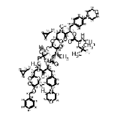 CN[C@@H](CC(C)(C)F)C(=O)O[C@H](Cc1ccc(N2CCOCC2)cc1)C(=O)N(C)[C@@H](CC1CC1)C(=O)O[C@H](C)C(=O)N(C)[C@@H](CC(C)(C)F)C(=O)OC(Cc1ccc(N2CCOCC2)cc1)C(=O)N(C)[C@@H](CC1CC1)C(=O)O[C@H](C)C(=O)OCc1ccccc1